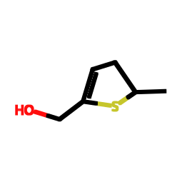 CC1CC=C(CO)S1